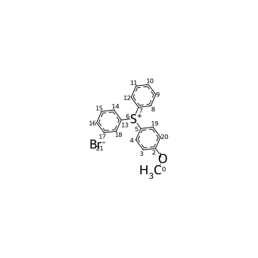 COc1ccc([S+](c2ccccc2)c2ccccc2)cc1.[Br-]